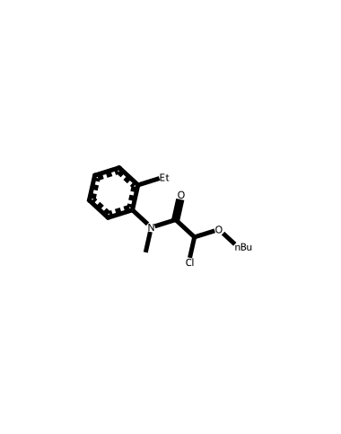 CCCCOC(Cl)C(=O)N(C)c1ccccc1CC